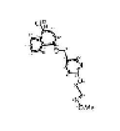 CON=CCOc1ccc(COc2ccc(Cl)c3ccccc23)cn1